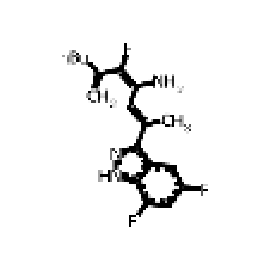 C=C(CCCC)/C(F)=C(N)\C=C(/C)c1n[nH]c2c(F)cc(F)cc12